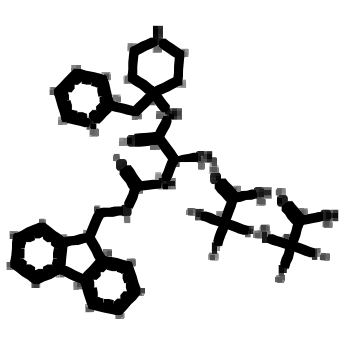 C[C@@H](NC(=O)OCC1c2ccccc2-c2ccccc21)C(=O)NC1(Cc2ccccn2)CCNCC1.O=C(O)C(F)(F)F.O=C(O)C(F)(F)F